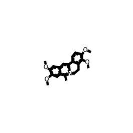 COc1cc2cc3[n+](c(C)c2cc1OC)CCc1c-3ccc(OC)c1OC